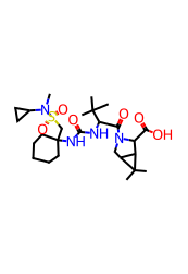 CN(C1CC1)S(=O)(=O)CC1(NC(=O)NC(C(=O)N2CC3C(C2C(=O)O)C3(C)C)C(C)(C)C)CCCCC1